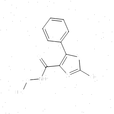 CONC(=O)c1nc(C)sc1-c1ccccc1